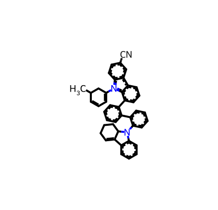 CC1C=CC=C(n2c3ccc(C#N)cc3c3cccc(-c4ccccc4-c4ccccc4N4c5ccccc5C5=CCCCC54)c32)C1